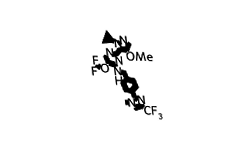 COc1cnn(C2CC2)c1-c1ncc(OC(F)F)c(NCc2ccc(-c3nc(C(F)(F)F)cn3C)cc2)n1